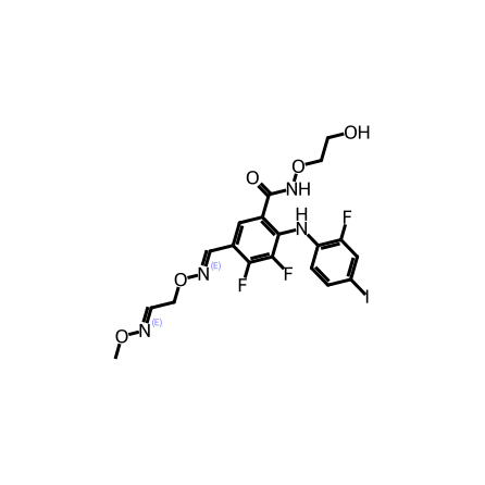 CO/N=C/CO/N=C/c1cc(C(=O)NOCCO)c(Nc2ccc(I)cc2F)c(F)c1F